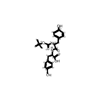 CC(C)(C)OC(=O)NC(Cc1ccc(O)cc1)C(=O)NC(Cc1ccc(O)cc1)C(=O)O